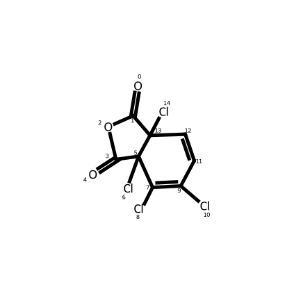 O=C1OC(=O)C2(Cl)C(Cl)=C(Cl)C=CC12Cl